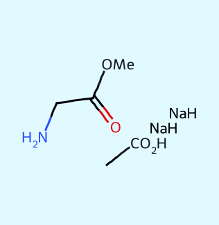 CC(=O)O.COC(=O)CN.[NaH].[NaH]